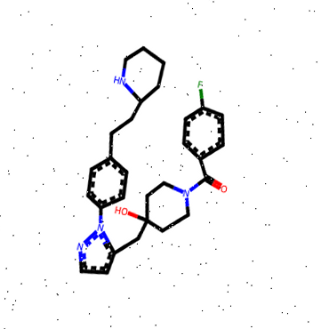 O=C(c1ccc(F)cc1)N1CCC(O)(Cc2ccnn2-c2ccc(CCC3CCCCN3)cc2)CC1